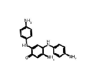 NC1=CC(=O)C(Nc2ccc(N)cc2)=CC1Nc1ccc(N)cc1